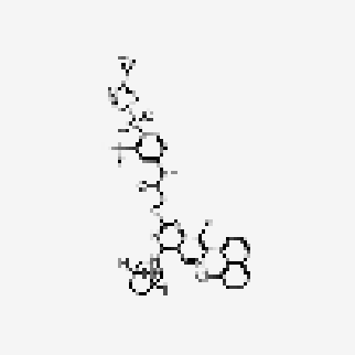 O=C(COc1nc(N2C[C@H]3CC[C@@H](C2)N3)c2cnc(-c3cccc4cccc(Cl)c34)c(F)c2n1)Nc1ccc(S(=O)(=O)n2cnc(C3CC3)n2)c(C(F)(F)F)c1